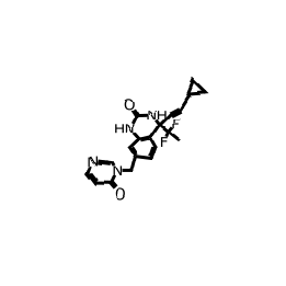 CC(F)(F)C1(C#CC2CC2)NC(=O)Nc2cc(Cn3cnccc3=O)ccc21